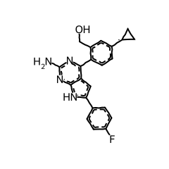 Nc1nc(-c2ccc([C]3CC3)cc2CO)c2cc(-c3ccc(F)cc3)[nH]c2n1